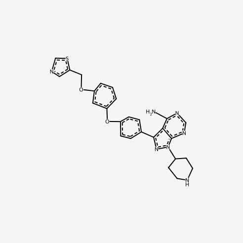 Nc1ncnc2c1c(-c1ccc(Oc3cccc(OCc4cncs4)c3)cc1)nn2C1CCNCC1